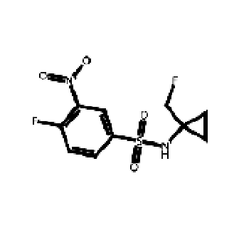 O=[N+]([O-])c1cc(S(=O)(=O)NC2(CF)CC2)ccc1F